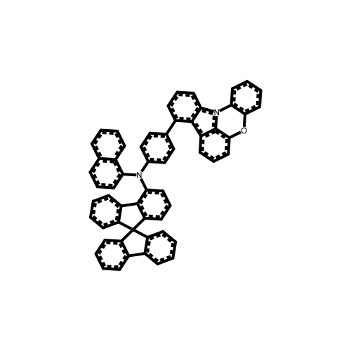 c1ccc2c(c1)Oc1cccc3c4c(-c5ccc(N(c6cccc7c6-c6ccccc6C76c7ccccc7-c7ccccc76)c6cccc7ccccc67)cc5)cccc4n-2c13